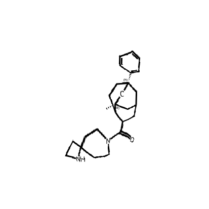 C[C@]12CC3CC(C(=O)N4CCC5(CCN5)CC4)C1CC[C@@](c1ccccc1)(C3)C2